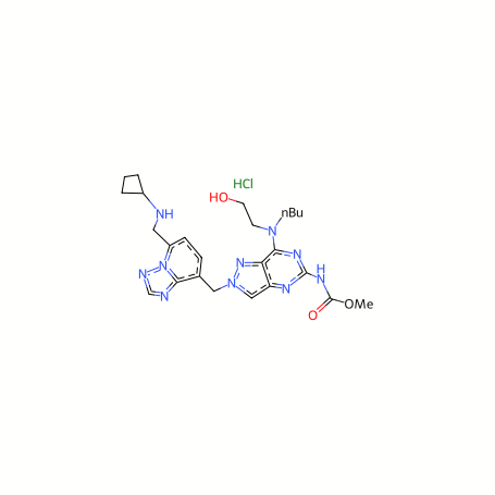 CCCCN(CCO)c1nc(NC(=O)OC)nc2cn(Cc3ccc(CNC4CCC4)n4ncnc34)nc12.Cl